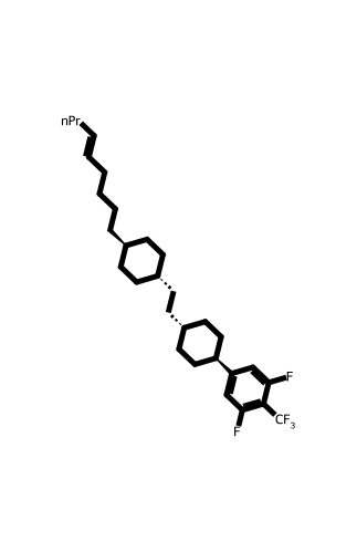 CCC/C=C/CCCC[C@H]1CC[C@H](CC[C@H]2CC[C@H](c3cc(F)c(C(F)(F)F)c(F)c3)CC2)CC1